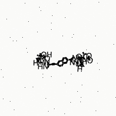 COC(=O)NC(C(=O)N1[C@@H]2C[C@@H]2C[C@H]1c1nc(-c2ccc3cc(C#Cc4c[nH]c([C@@H]5C[C@@H]6C[C@@]6(C(C)(C)C)N5C(=O)O)n4)ccc3c2)c[nH]1)C(C)C